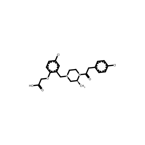 C[C@H]1CN(Cc2cc(Cl)ccc2OCC(=O)O)CCN1C(=O)Cc1ccc(Cl)cc1